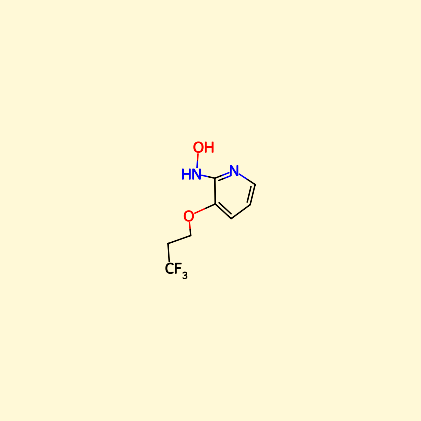 ONc1ncccc1OCCC(F)(F)F